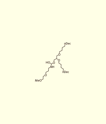 CCCCCCCCCCCCCCOCC(COC(O)NCCCOCCOC)OCCCCCCCCCCCCCC